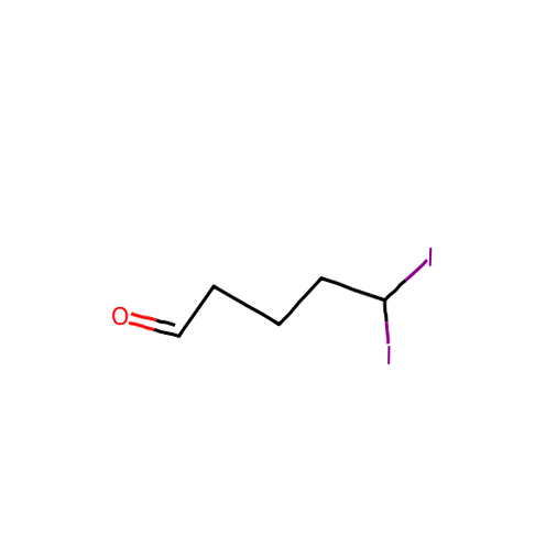 O=CCCCC(I)I